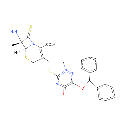 Cn1nc(OC(c2ccccc2)c2ccccc2)c(=O)nc1SCC1=C(C(=O)O)N2C(=S)[C@@](C)(N)[C@@H]2SC1